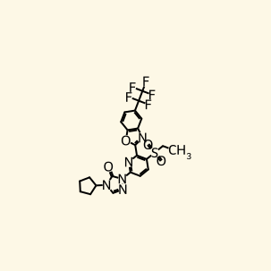 CCS(=O)(=O)c1ccc(-n2ncn(C3CCCC3)c2=O)nc1-c1nc2cc(C(F)(F)C(F)(F)F)ccc2o1